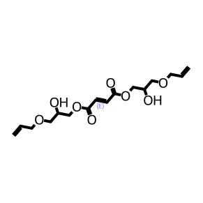 C=CCOCC(O)COC(=O)/C=C/C(=O)OCC(O)COCC=C